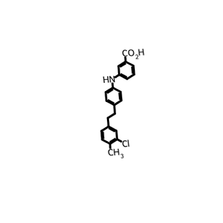 Cc1ccc(CCc2ccc(Nc3cccc(C(=O)O)c3)cc2)cc1Cl